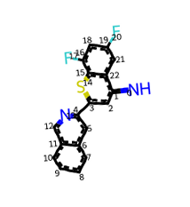 N=c1cc(-c2cc3ccccc3cn2)sc2c(F)cc(F)cc12